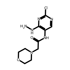 NNc1nc(Cl)ncc1NC(=O)CN1CCOCC1